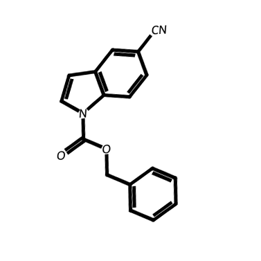 N#Cc1ccc2c(ccn2C(=O)OCc2ccccc2)c1